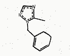 Cc1ncnn1CC1=CC=CCC1